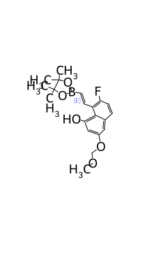 COCOc1cc(O)c2c(/C=C/B3OC(C)(C)C(C)(C)O3)c(F)ccc2c1